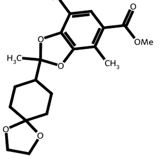 COC(=O)c1cc(Br)c2c(c1C)OC(C)(C1CCC3(CC1)OCCO3)O2